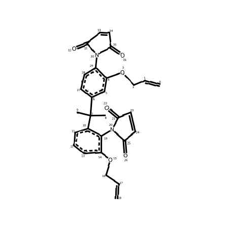 C=CCOc1cc(C(C)(C)c2cccc(OCC=C)c2N2C(=O)C=CC2=O)ccc1N1C(=O)C=CC1=O